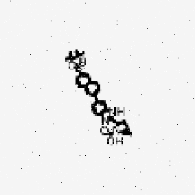 CC1(C)OB(c2ccc3cc(-c4ccc5nc(C6CC7CC7N6C(=O)O)[nH]c5c4)ccc3c2)OC1(C)C